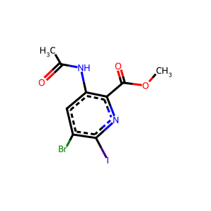 COC(=O)c1nc(I)c(Br)cc1NC(C)=O